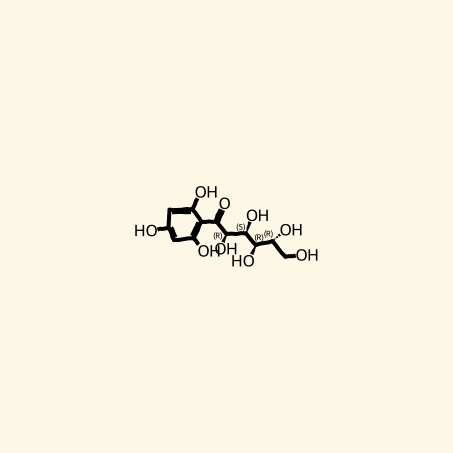 O=C(c1c(O)cc(O)cc1O)[C@H](O)[C@@H](O)[C@H](O)[C@H](O)CO